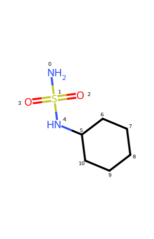 NS(=O)(=O)NC1CCCCC1